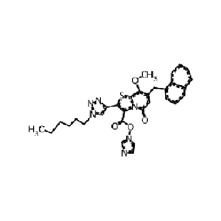 CCCCCCn1cc(-c2sc3c(OC)c(Cc4cccc5ccccc45)cc(=O)n3c2C(=O)On2ccnc2)nn1